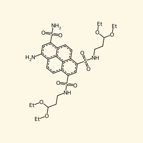 CCOC(CCNS(=O)(=O)c1cc(S(=O)(=O)NCCC(OCC)OCC)c2ccc3c(S(N)(=O)=O)cc(N)c4ccc1c2c43)OCC